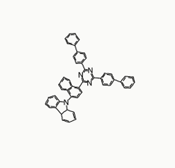 C1=CC2c3ccccc3N(c3ccc(-c4nc(-c5ccc(-c6ccccc6)cc5)nc(-c5ccc(-c6ccccc6)cc5)n4)c4ccccc34)C2C=C1